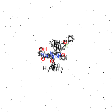 [2H]C([2H])([2H])C([2H])([2H])c1cc(OCc2ccccc2)c(F)cc1-c1ccc2c(-c3nc4c(n3COCC[Si](C)(C)C)CN(C(=O)N3CC[C@H](O)C3)C4)nn(C3CCCCO3)c2c1